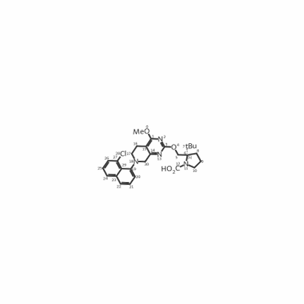 COc1nc(OC[C@@]2(C(C)(C)C)CCCN2C(=O)O)nc2c1CCN(c1cccc3cccc(Cl)c13)C2